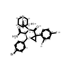 NC(=O)[C@H](Cc1ccc(Br)cc1)N(C(=O)C1(c2ccc(F)cc2F)CC1)[C@@H]1CN2CCC1CC2